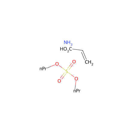 C=CC(=O)O.CCCOS(=O)(=O)OCCC.N